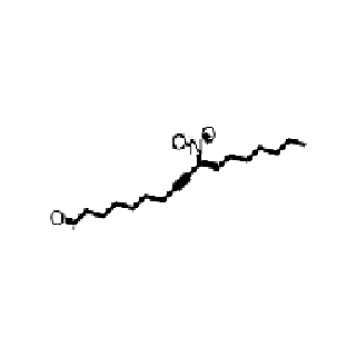 CCCCCC/C=C(/C#CCCCCCC[C]=O)[N+](=O)[O-]